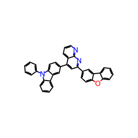 c1ccc(-n2c3ccccc3c3cc(-c4cc(-c5ccc6oc7ccccc7c6c5)nc5ncccc45)ccc32)cc1